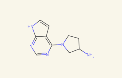 NC1CCN(c2ncnc3[nH]ccc23)C1